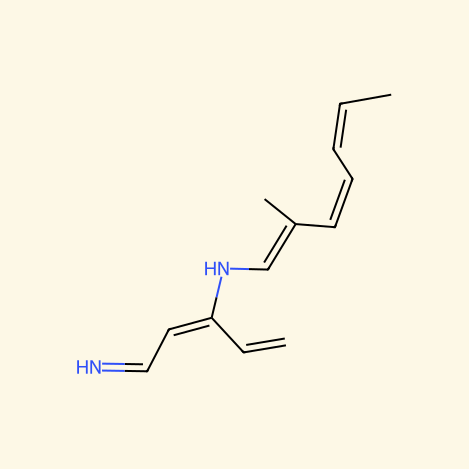 C=C/C(=C\C=N)N/C=C(C)/C=C\C=C/C